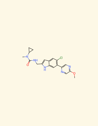 COc1cnc(-c2cc3[nH]c(CNC(=O)N(C)C4CC4)cc3cc2Cl)cn1